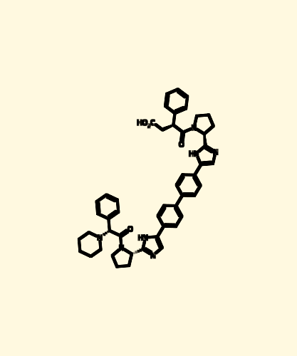 O=C(O)C[C@H](C(=O)N1CCC[C@H]1c1ncc(-c2ccc(-c3ccc(-c4cnc([C@@H]5CCCN5C(=O)[C@@H](c5ccccc5)N5CCCCC5)[nH]4)cc3)cc2)[nH]1)c1ccccc1